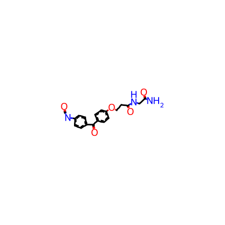 NC(=O)CNC(=O)CCOc1ccc(C(=O)c2ccc(N=C=O)cc2)cc1